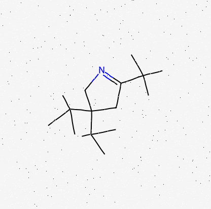 CC(C)(C)C1=NCC(C(C)(C)C)(C(C)(C)C)C1